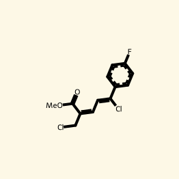 COC(=O)C(=CC=C(Cl)c1ccc(F)cc1)CCl